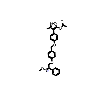 CO/N=C(\COc1ccc(COc2ccc(-c3c(C)noc3OC(C)=O)cc2)cc1)c1ccccc1